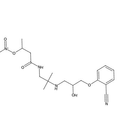 CC(CC(=O)NCC(C)(C)NCC(O)COc1ccccc1C#N)O[N+](=O)[O-]